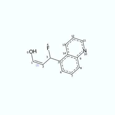 O/C=C\C(F)c1cccc2ncccc12